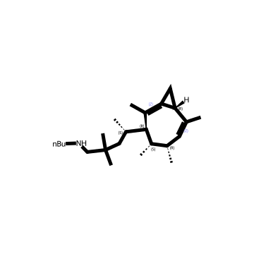 CCCCNCC(C)(C)C[C@H](C)[C@H]1/C(C)=C2/C[C@@H]2/C(C)=C\[C@H](C)[C@@H]1C